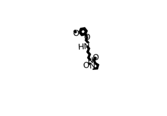 COc1cccc(OCCNCCCCN2C(=O)C3CCCN3C2=O)c1